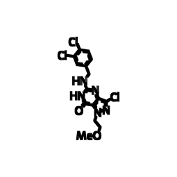 COCCn1nc(Cl)c2nc(NCc3ccc(Cl)c(Cl)c3)[nH]c(=O)c21